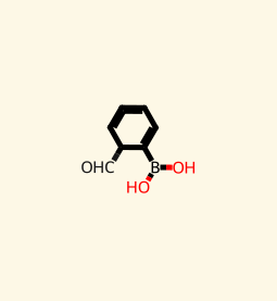 O=CC1C=C=CC=C1B(O)O